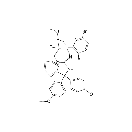 COCC[C@]1(c2nc(Br)ccc2F)N=C(NC(c2ccccc2)(c2ccc(OC)cc2)c2ccc(OC)cc2)OCC1(F)F